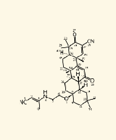 C/C(=C\C#N)NCCO[C@]12CCC(C)(C)C[C@H]1[C@H]1C(=O)C=C3[C@@]4(C)C=C(C#N)C(=O)C(C)(C)[C@@H]4CC[C@@]3(C)[C@]1(C)CC2